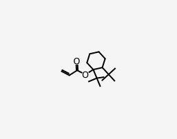 C=CC(=O)OC1(C(C)(C)C)CCCCC1C(C)(C)C